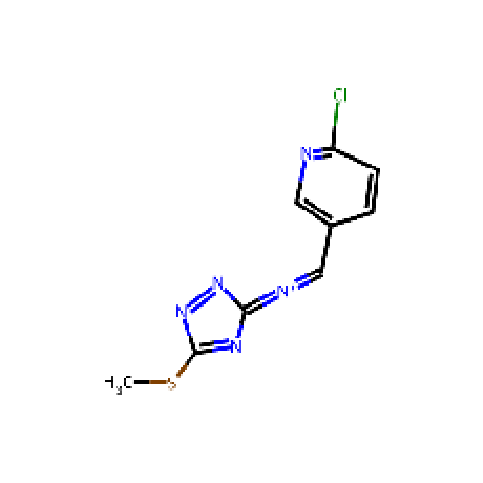 CSC1=NC(=[N+]=Cc2ccc(Cl)nc2)N=N1